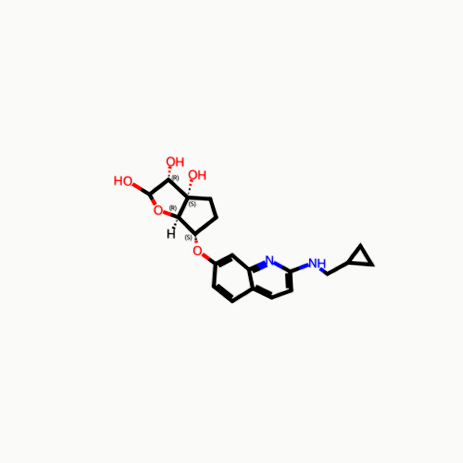 OC1O[C@@H]2[C@@H](Oc3ccc4ccc(NCC5CC5)nc4c3)CC[C@]2(O)[C@H]1O